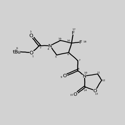 CC(C)(C)OC(=O)N1CC(CC(=O)N2CCOC2=O)C(F)(F)C1